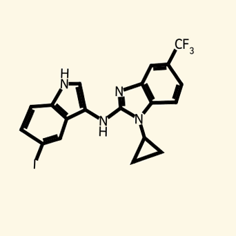 FC(F)(F)c1ccc2c(c1)nc(Nc1c[nH]c3ccc(I)cc13)n2C1CC1